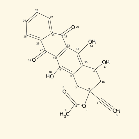 C#CC1(OC(C)=O)Cc2c(O)c3c(c(O)c2C(O)C1)C(=O)c1ccccc1C3=O